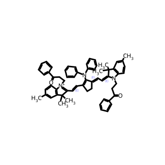 Cc1ccc2c(c1)C(C)(C)C(/C=C/C1=C(N(c3ccccc3)c3ccccc3)C(=C/C=C3/N(CCC(=O)c4ccccc4)c4ccc(C)cc4C3(C)C)/CC1)=[N+]2CCC(=O)c1ccccc1